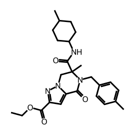 CCOC(=O)c1cc2n(n1)CC(C)(C(=O)NC1CCC(C)CC1)N(Cc1ccc(C)cc1)C2=O